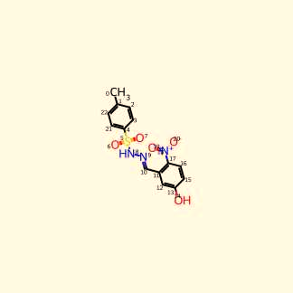 Cc1ccc(S(=O)(=O)NN=Cc2cc(O)ccc2[N+](=O)[O-])cc1